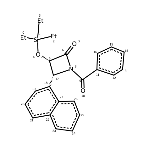 CC[Si](CC)(CC)O[C@@H]1C(=O)N(C(=O)c2ccccc2)[C@@H]1c1cccc2ccccc12